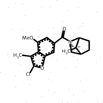 COc1cc(C(=O)N2CC3CCC2[C@@H]3C)cc2oc(Cl)c(C)c12